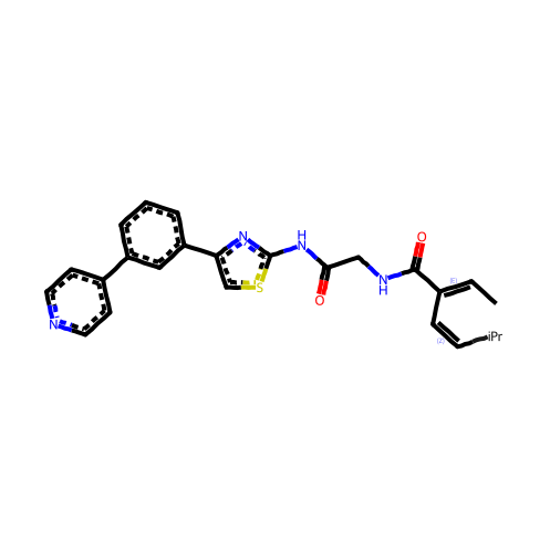 C/C=C(\C=C/C(C)C)C(=O)NCC(=O)Nc1nc(-c2cccc(-c3ccncc3)c2)cs1